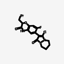 CC(C)CC1Oc2cc(F)c(-c3c(Cl)n4n(c3=O)CCCC4)cc2NC1=O